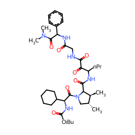 CCCC(NC(=O)C1[C@@H](C)[C@H](C)CN1C(=O)[C@@H](NC(=O)OCC(C)C)C1CCCCC1)C(=O)C(=O)NCC(=O)NC(C(=O)N(C)C)c1ccccc1